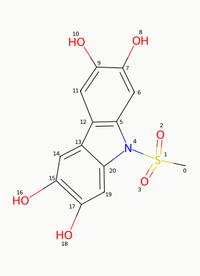 CS(=O)(=O)n1c2cc(O)c(O)cc2c2cc(O)c(O)cc21